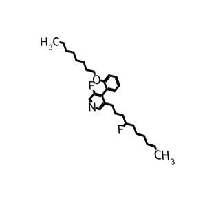 CCCCCCCCOc1ccccc1-c1c(F)cncc1CCCC(F)CCCCCC